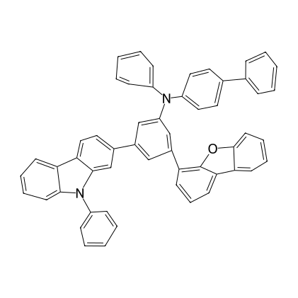 c1ccc(-c2ccc(N(c3ccccc3)c3cc(-c4ccc5c6ccccc6n(-c6ccccc6)c5c4)cc(-c4cccc5c4oc4ccccc45)c3)cc2)cc1